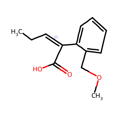 CC/C=C(\C(=O)O)c1ccccc1COC